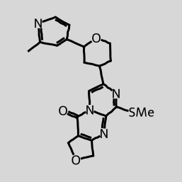 CSc1nc(C2CCOC(c3ccnc(C)c3)C2)cn2c(=O)c3c(nc12)COC3